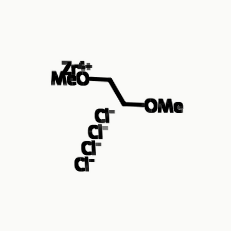 COCCOC.[Cl-].[Cl-].[Cl-].[Cl-].[Zr+4]